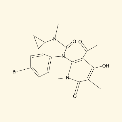 CC(=O)c1c(O)c(C)c(=O)n(C)c1N(C(=O)N(C)C1CC1)c1ccc(Br)cc1